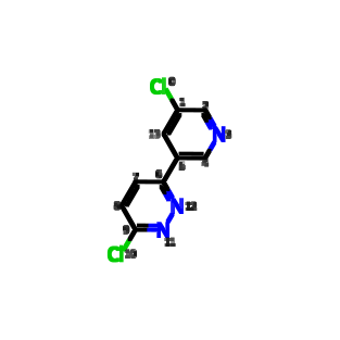 Clc1cncc(-c2ccc(Cl)nn2)c1